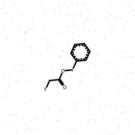 O=C(CF)O[I]c1ccccc1